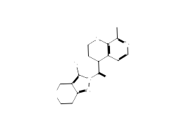 Cc1nccc2c1NCCC2C(=O)n1nc2c(c1N)COCC2